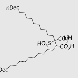 CCCCCCCCCCCCCCCCCCCCC(C(=O)O)C(CCCCCCCCCCCCCCCCCCCC)(C(=O)O)S(=O)(=O)O.[LiH]